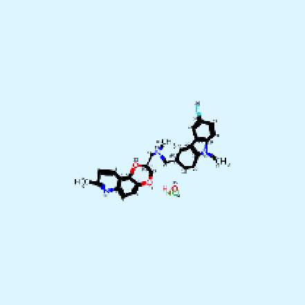 Cc1ccc2c3c(ccc2n1)OC[C@H](CN(C)C[C@@H]1CCc2c(c4cc(F)ccc4n2C)C1)O3.Cl.O